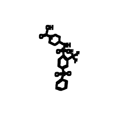 O=C(O)N1CCC(NS(=O)(=O)c2ccc(S(=O)(=O)c3ccccc3)cc2C(F)(F)F)CC1